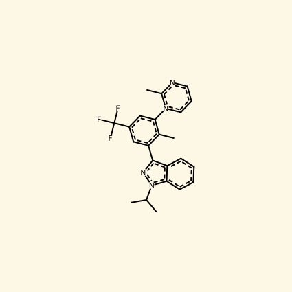 Cc1c(-c2nn(C(C)C)c3ccccc23)cc(C(F)(F)F)cc1-[n+]1cccnc1C